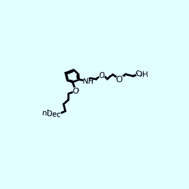 CCCCCCCCCCCCCCOc1ccccc1NCCOCCOCCO